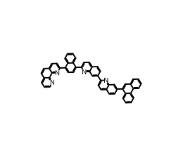 c1ccc2c(c1)cc(-c1ccc3ccc(-c4ccc5ccc(-c6ccc(-c7ccc8ccc9cccnc9c8n7)c7ccccc67)nc5c4)nc3c1)c1ccccc12